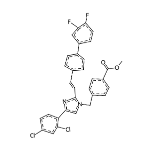 COC(=O)c1ccc(Cn2cc(-c3ccc(Cl)cc3Cl)nc2C=Cc2ccc(-c3ccc(F)c(F)c3)cc2)cc1